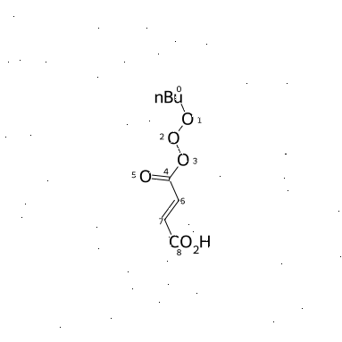 CCCCOOOC(=O)C=CC(=O)O